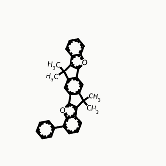 CC1(C)c2cc3c(cc2-c2oc4ccccc4c21)C(C)(C)c1c-3oc2c(-c3ccccc3)cccc12